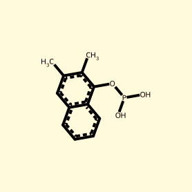 Cc1cc2ccccc2c(OP(O)O)c1C